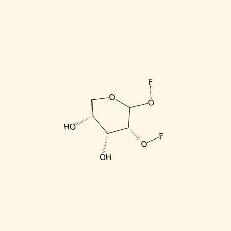 O[C@@H]1[C@H](O)COC(OF)[C@@H]1OF